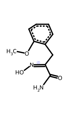 COc1ccccc1C/C(=N/O)C(N)=O